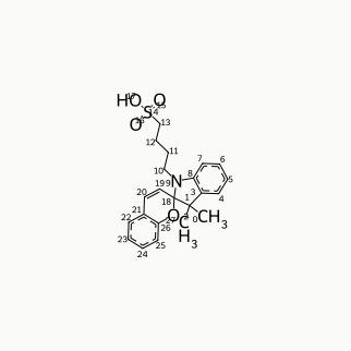 CC1(C)c2ccccc2N(CCCCS(=O)(=O)O)C12C=Cc1ccccc1O2